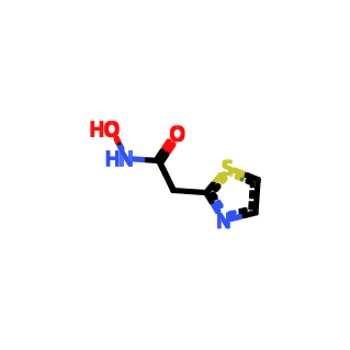 O=C(Cc1nccs1)NO